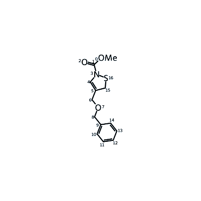 COC(=O)N1C=C(COCc2ccccc2)CS1